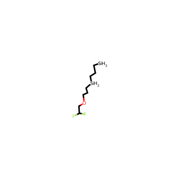 FC(F)COCCC[SiH2]CCC[SiH3]